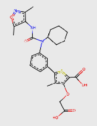 Cc1noc(C)c1NC(=O)N(c1cccc(-c2sc(C(=O)O)c(OCC(=O)O)c2C)c1)C1CCCCC1